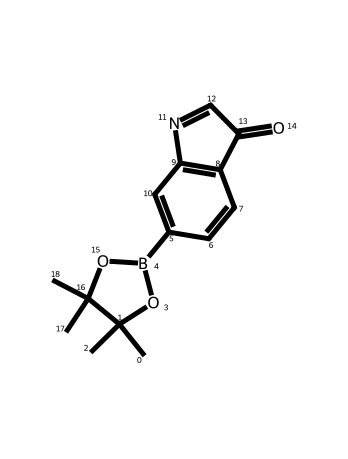 CC1(C)OB(c2ccc3c(c2)N=CC3=O)OC1(C)C